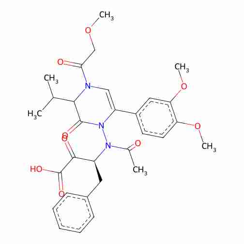 COCC(=O)N1C=C(c2ccc(OC)c(OC)c2)N(N(C(C)=O)[C@@H](Cc2ccccc2)C(=O)C(=O)O)C(=O)C1C(C)C